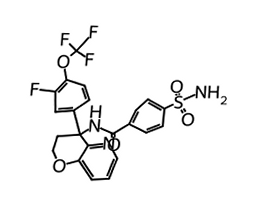 NS(=O)(=O)c1ccc(C(=O)NC2(c3ccc(OC(F)(F)F)c(F)c3)CCOc3cccnc32)cc1